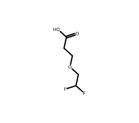 O=C(O)CCOCC(F)F